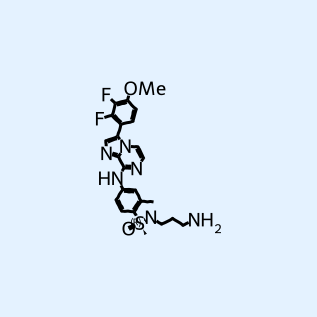 COc1ccc(-c2cnc3c(Nc4ccc([S@@](C)(=O)=NCCCN)c(C)c4)nccn23)c(F)c1F